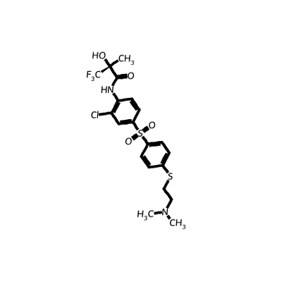 CN(C)CCSc1ccc(S(=O)(=O)c2ccc(NC(=O)[C@@](C)(O)C(F)(F)F)c(Cl)c2)cc1